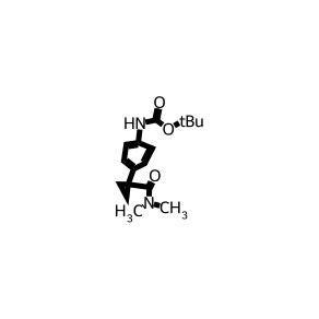 CN(C)C(=O)C1(c2ccc(NC(=O)OC(C)(C)C)cc2)CC1